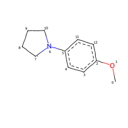 COc1ccc(N2[CH]CCC2)cc1